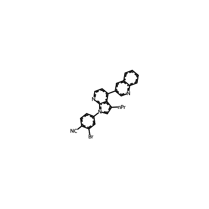 CCCc1cn(-c2ccc(C#N)c(Br)c2)c2nccc(-c3cnc4ccccc4c3)c12